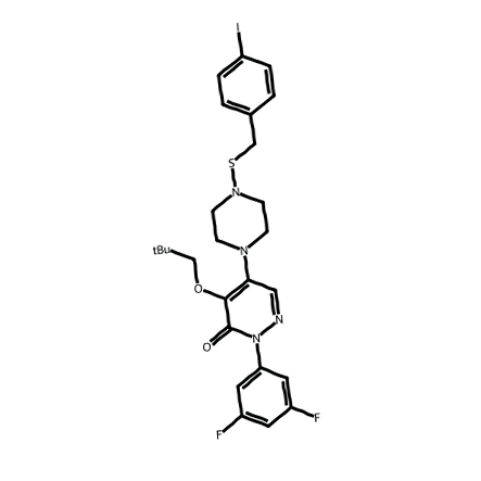 CC(C)(C)COc1c(N2CCN(SCc3ccc(I)cc3)CC2)cnn(-c2cc(F)cc(F)c2)c1=O